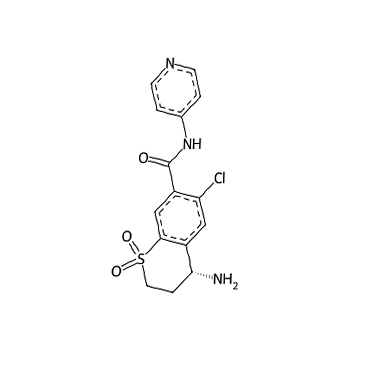 N[C@@H]1CCS(=O)(=O)c2cc(C(=O)Nc3ccncc3)c(Cl)cc21